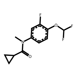 CN(C(=O)C1CC1)c1ccc(OC(F)F)c(F)c1